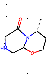 C[C@@H]1CCOC2CNCC(=O)N21